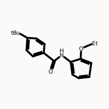 CCOc1ccccc1NC(=O)c1ccc(C(C)(C)C)cc1